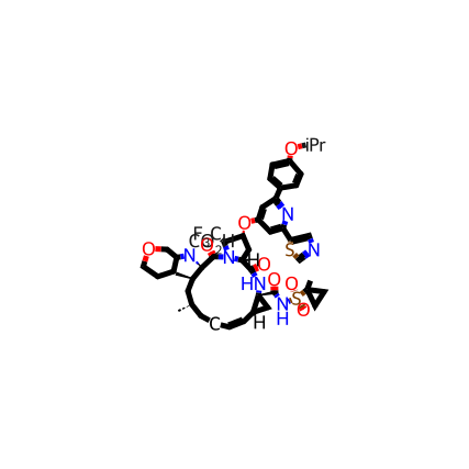 CC(C)Oc1ccc(-c2cc(O[C@@H]3C[C@H]4C(=O)N[C@]5(C(=O)NS(=O)(=O)C6(C)CC6)C[C@H]5/C=C\CC[C@H](C)C[C@@H](C)[C@H](N(C(=O)O)C5CCCOC5)C(=O)N4C3C(F)(F)F)cc(-c3cncs3)n2)cc1